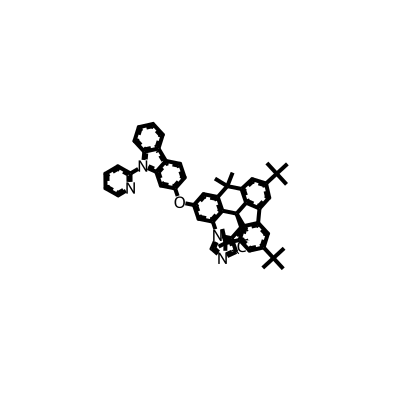 CC(C)(C)c1cc2c(c(C(C)(C)C)c1)C13c4c-2cc(C(C)(C)C)cc4C(C)(C)c2cc(Oc4ccc5c6ccccc6n(-c6ccccn6)c5c4)cc(c21)-n1cnc2cccc3c21